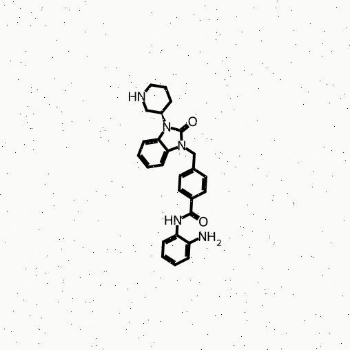 Nc1ccccc1NC(=O)c1ccc(Cn2c(=O)n([C@@H]3CCCNC3)c3ccccc32)cc1